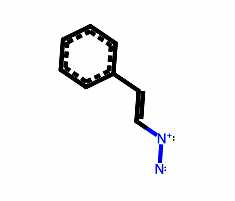 [N][N+]C=Cc1ccccc1